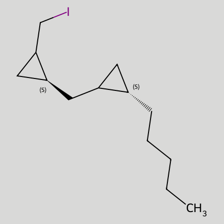 CCCCC[C@H]1CC1C[C@H]1CC1CI